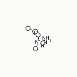 Nc1ncnc2c1C(c1ccc3ccc(-c4ccccc4)nc3c1)=NC2c1ccccc1